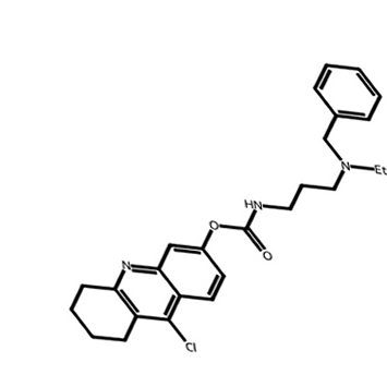 CCN(CCCNC(=O)Oc1ccc2c(Cl)c3c(nc2c1)CCCC3)Cc1ccccc1